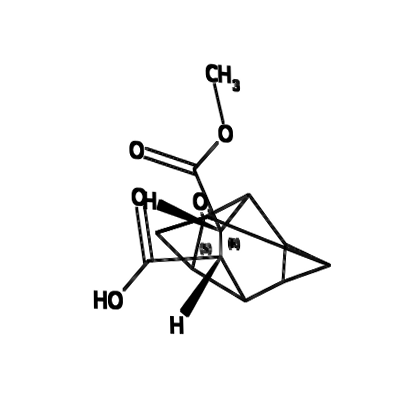 COC(=O)[C@@H]1C2C3C4C(=O)C5C2C5C(C43)[C@@H]1C(=O)O